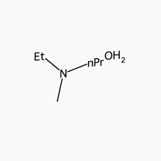 CCCN(C)CC.O